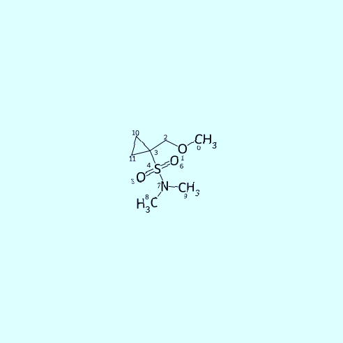 COCC1(S(=O)(=O)N(C)C)CC1